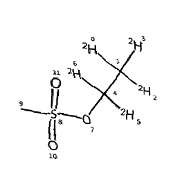 [2H]C([2H])([2H])C([2H])([2H])OS(C)(=O)=O